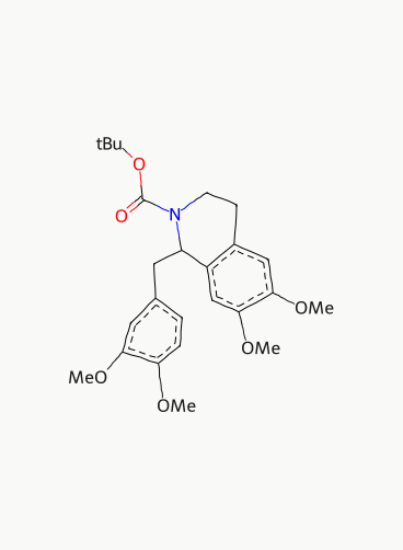 COc1ccc(CC2c3cc(OC)c(OC)cc3CCN2C(=O)OC(C)(C)C)cc1OC